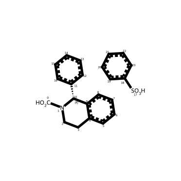 O=C(O)N1CCc2ccccc2[C@H]1c1ccccc1.O=S(=O)(O)c1ccccc1